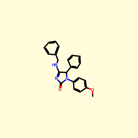 COc1ccc(N2C(=O)N=C(NCc3ccccc3)C2c2ccccc2)cc1